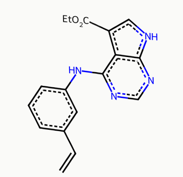 C=Cc1cccc(Nc2ncnc3[nH]cc(C(=O)OCC)c23)c1